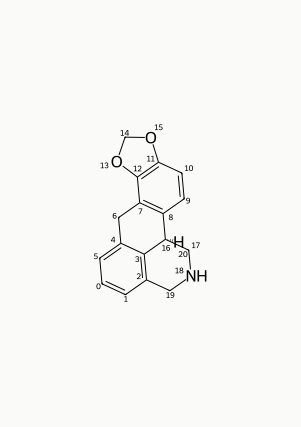 c1cc2c3c(c1)Cc1c(ccc4c1OCO4)[C@H]3CNC2